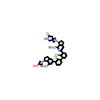 COc1cc(-c2cccc(-c3cccc(-c4cc5c(c(OC)n4)[C@@H](N4CC6(CNC(=O)C6)C4)CC5)c3Cl)c2Cl)cc2c1[C@@H](N1CC(O)C1)CC2